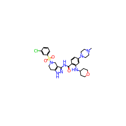 CN1CCN(c2ccc(C(=O)Nc3n[nH]c4c3CN(S(=O)(=O)c3cccc(Cl)c3)CC4)c(NC3CCOCC3)c2)CC1